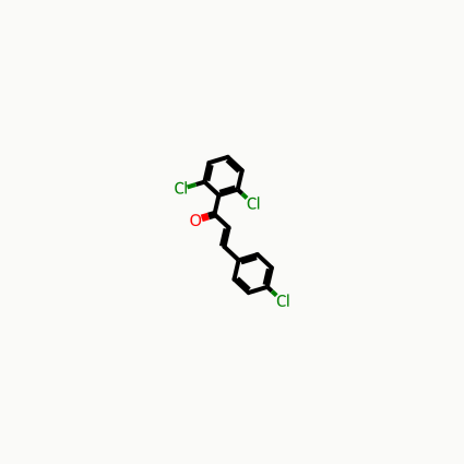 O=C(C=Cc1ccc(Cl)cc1)c1c(Cl)cccc1Cl